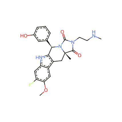 CNCCN1C(=O)N2[C@H](c3cccc(O)c3)c3[nH]c4cc(F)c(OC)cc4c3C[C@@]2(C)C1=O